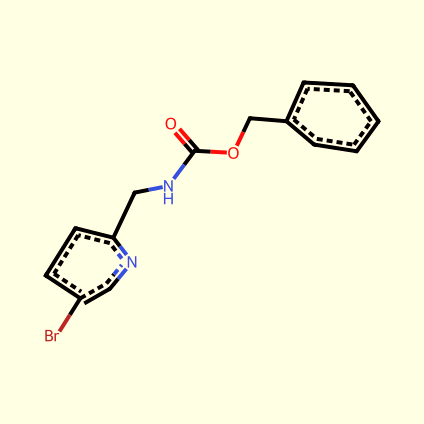 O=C(NCc1ccc(Br)cn1)OCc1ccccc1